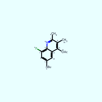 CCCCc1cc(F)c2nc(C)c(C)c(OC(C)=O)c2c1